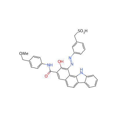 COCc1ccc(NC(=O)c2cc3ccc4c5ccccc5[nH]c4c3c(N=Nc3cccc(CS(=O)(=O)O)c3)c2O)cc1